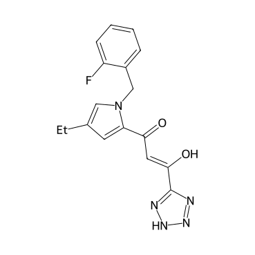 CCc1cc(C(=O)C=C(O)c2nn[nH]n2)n(Cc2ccccc2F)c1